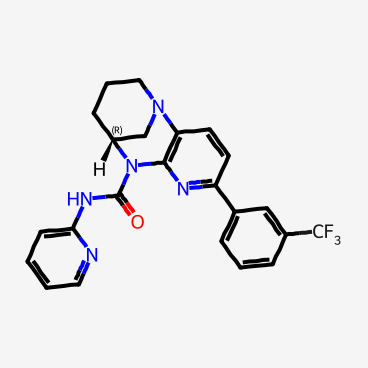 O=C(Nc1ccccn1)N1c2nc(-c3cccc(C(F)(F)F)c3)ccc2N2CCC[C@@H]1C2